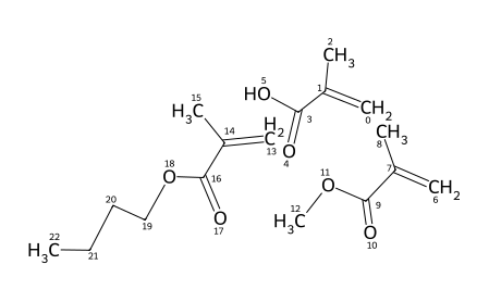 C=C(C)C(=O)O.C=C(C)C(=O)OC.C=C(C)C(=O)OCCCC